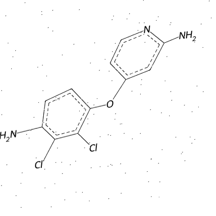 Nc1cc(Oc2ccc(N)c(Cl)c2Cl)ccn1